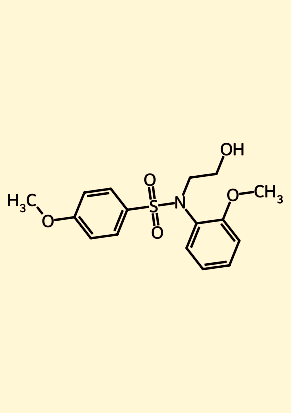 COc1ccc(S(=O)(=O)N(CCO)c2ccccc2OC)cc1